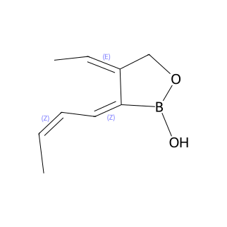 C\C=C/C=C1/B(O)OC/C1=C/C